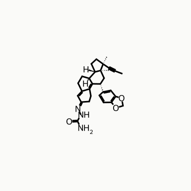 CC#C[C@]1(C)CC[C@H]2[C@@H]3CCC4=C/C(=N/NC(N)=O)CCC4=C3[C@@H](c3ccc4c(c3)OCO4)C[C@@]21C